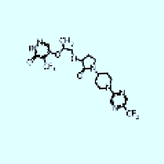 CC(CO[C@H]1CCN(C2CCN(c3cnc(C(F)(F)F)cn3)CC2)C1=O)Oc1cn[nH]c(=O)c1C(F)(F)F